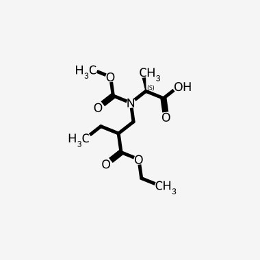 CCOC(=O)C(CC)CN(C(=O)OC)[C@@H](C)C(=O)O